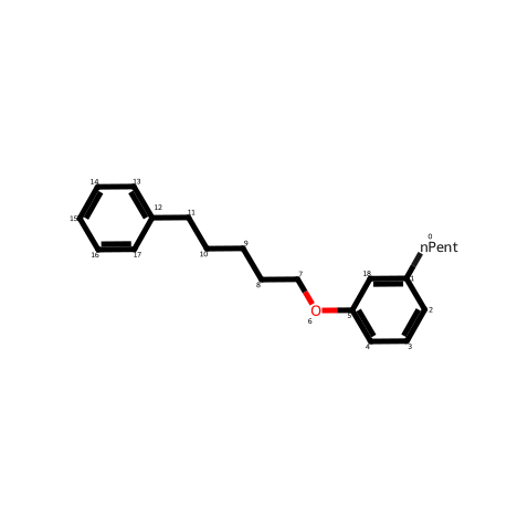 CCCCCc1cccc(OCCCCCc2ccccc2)c1